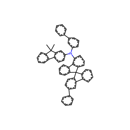 CC1(C)c2ccccc2-c2ccc(N(c3cccc(-c4ccccc4)c3)c3cccc4c3-c3ccccc3C43c4ccccc4-c4cc(-c5ccccc5)ccc43)cc21